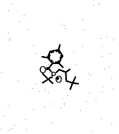 Cc1cc(C)c(C(=O)P(=O)(CC(C)CC(C)(C)C)C(C)(C)C)c(C)c1